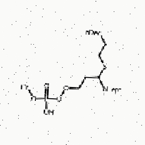 CCCCCCCCCCCCSC(CCCCCCC)CCOOP(=O)(O)OC(C)C